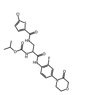 CC(C)OC(=O)NC(CNC(=O)c1ccc(Cl)s1)C(=O)Nc1ccc(N2CCOCC2=O)cc1F